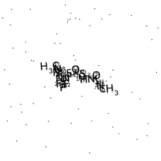 CN1CC(C(=O)NCc2ccc(C(=O)CSc3nc(C(F)(F)F)nc4nn(C)cc34)s2)C1